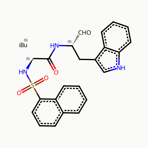 CC[C@H](C)[C@H](NS(=O)(=O)c1cccc2ccccc12)C(=O)N[C@H](C=O)Cc1c[nH]c2ccccc12